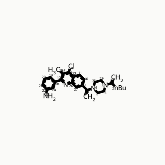 C=C(CCCC)N1CCN(C(=C)c2ccc3c(Cl)c(C)c(-c4cccc(N)c4)nc3c2)CC1